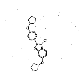 Clc1c(-c2ccc(OC3CCCC3)cc2)sc2cc(OC3CCCC3)ccc12